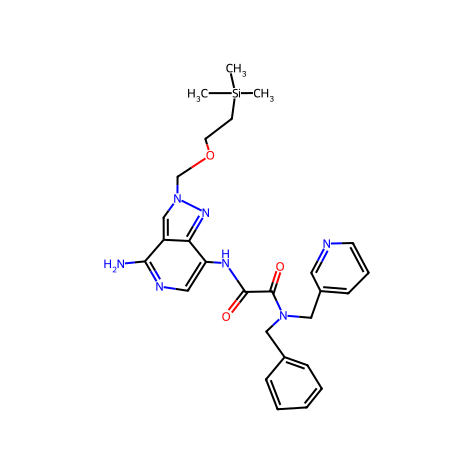 C[Si](C)(C)CCOCn1cc2c(N)ncc(NC(=O)C(=O)N(Cc3ccccc3)Cc3cccnc3)c2n1